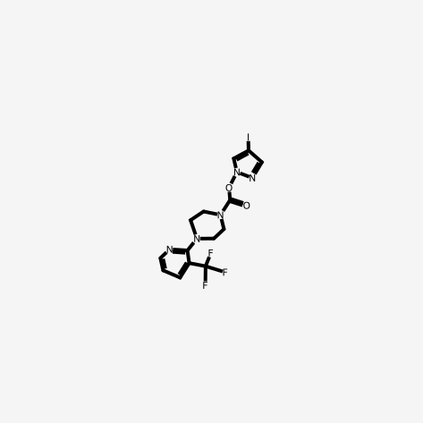 O=C(On1cc(I)cn1)N1CCN(c2ncccc2C(F)(F)F)CC1